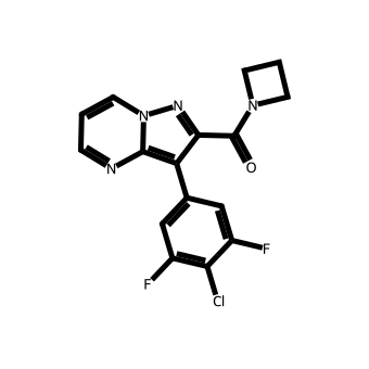 O=C(c1nn2cccnc2c1-c1cc(F)c(Cl)c(F)c1)N1CCC1